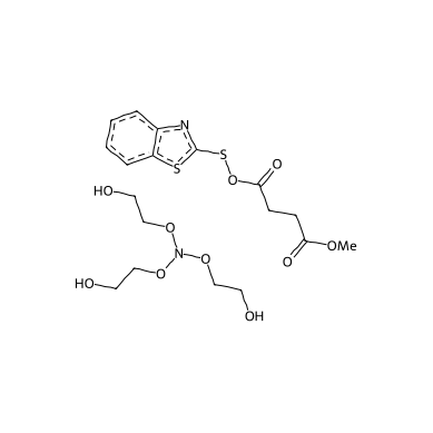 COC(=O)CCC(=O)OSc1nc2ccccc2s1.OCCON(OCCO)OCCO